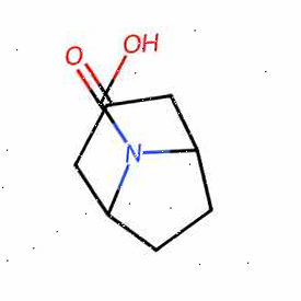 O=C1CC2CCC(C1)N2CO